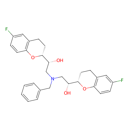 O[C@H](CN(Cc1ccccc1)C[C@@H](O)[C@H]1CCc2cc(F)ccc2O1)[C@@H]1CCc2cc(F)ccc2O1